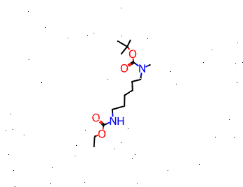 CCOC(=O)NCCCCCCN(C)C(=O)OC(C)(C)C